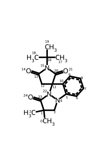 CC1(C)CN2c3ccccc3C3(CC(=O)N(C(C)(C)C)C3=O)N2C1=O